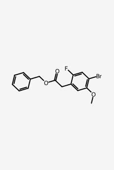 COc1cc(CC(=O)OCc2ccccc2)c(F)cc1Br